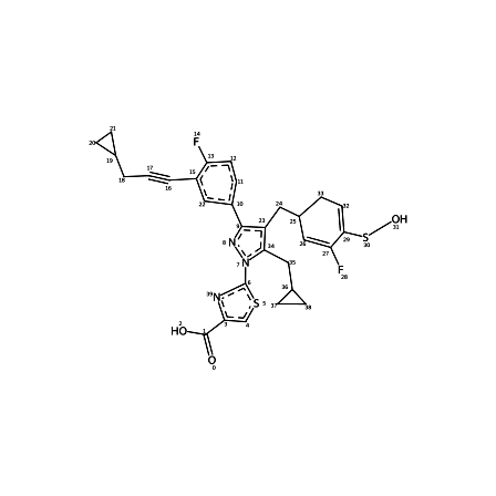 O=C(O)c1csc(-n2nc(-c3ccc(F)c(C#CCC4CC4)c3)c(CC3C=C(F)C(SO)=CC3)c2CC2CC2)n1